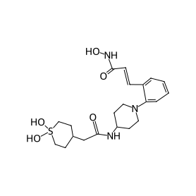 O=C(C=Cc1ccccc1N1CCC(NC(=O)CC2CCS(O)(O)CC2)CC1)NO